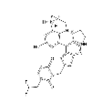 N#Cc1cc(-c2ccnc3cc(Cn4c(=O)ccn(CC(F)F)c4=O)sc23)c2c(c1)[C@H]1C[C@H]1CN2[C@@H]1CCNC1